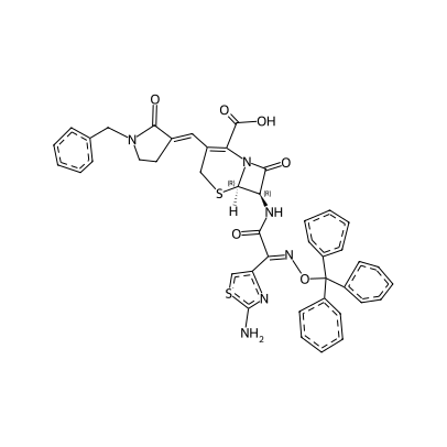 Nc1nc(C(=NOC(c2ccccc2)(c2ccccc2)c2ccccc2)C(=O)N[C@@H]2C(=O)N3C(C(=O)O)=C(C=C4CCN(Cc5ccccc5)C4=O)CS[C@H]23)cs1